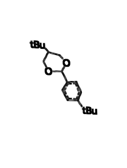 CC(C)(C)c1ccc(C2OCC(C(C)(C)C)CO2)cc1